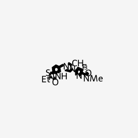 CCn1c(=O)[nH]c2cc(CN3CCN(c4cnc(C(=O)NC)c(F)c4)C(C)C3)ccc2c1=S